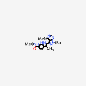 CNc1ncnc2c1c(-c1[nH]c3cc(C(=O)NOC)ccc3c1C)nn2C(C)(C)C